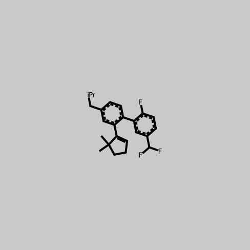 CC(C)Cc1ccc(-c2cc(C(F)F)ccc2F)c(C2=CCCC2(C)C)c1